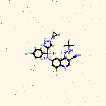 [2H][C@](Nc1cc(Cl)c2ncc(C#N)c(NNC(C)(C)C)c2c1)(c1ccc(F)cc1)c1cn(C2CC2)nn1